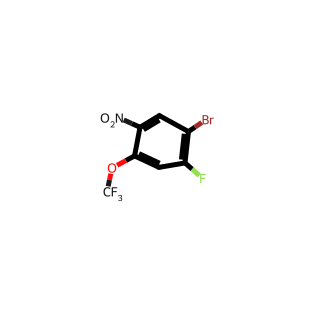 O=[N+]([O-])c1cc(Br)c(F)cc1OC(F)(F)F